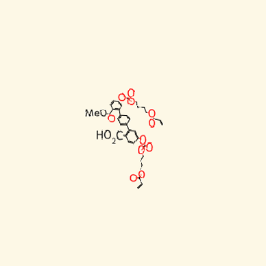 C=CC(=O)OCCCCOC(=O)Oc1ccc(C(=O)O)c(-c2ccc(-c3cc(OC(=O)OCCCCOC(=O)C=C)ccc3C(=O)OC)cc2)c1